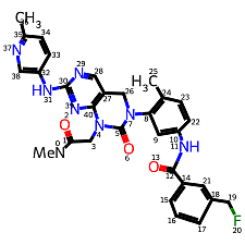 CNC(=O)CN1C(=O)N(c2cc(NC(=O)c3cccc(CF)c3)ccc2C)Cc2cnc(Nc3ccc(C)nc3)nc21